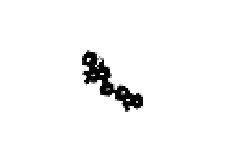 Cc1cc2c(-c3cccc(-c4ccc5c(c4)C(C)(C)c4ccccc4-5)c3)ccc3c2c(c1C)C1=C(C=CCC1)O3